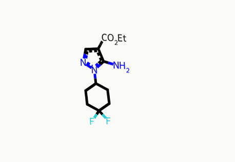 CCOC(=O)c1cnn(C2CCC(F)(F)CC2)c1N